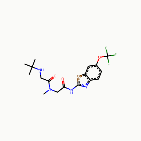 CN(CC(=O)Nc1nc2ccc(OC(F)(F)F)cc2s1)C(=O)CNC(C)(C)C